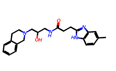 Cc1ccc2[nH]c(CCC(=O)NCC(O)CN3CCc4ccccc4C3)nc2c1